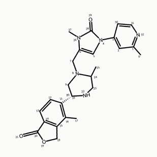 Cc1cc(-n2cc(CN3C[C@@H](c4ccc5c(c4C)COC5=O)NCC3C)n(C)c2=O)ccn1